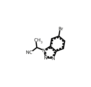 CC(C#N)n1nnc2ccc(Br)cc21